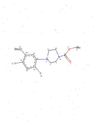 CCCCOC(=O)N1CCN(c2cc(OC)c(I)cc2F)CC1